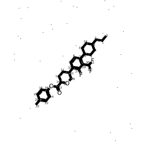 CCCC1CCC(c2ccc(C3CCC(C(=O)Oc4ccc(C)cc4)OC3)c(F)c2C(F)F)CC1